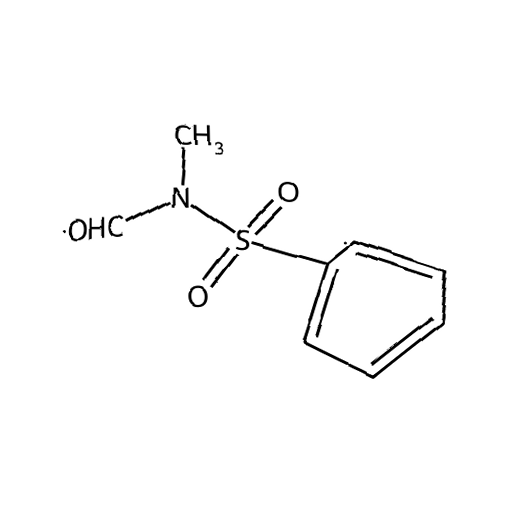 CN([C]=O)S(=O)(=O)c1[c]cccc1